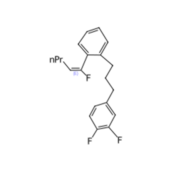 CCC/C=C(/F)c1ccccc1CCCc1ccc(F)c(F)c1